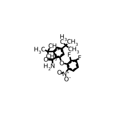 CC(C)(C)c1cc(Oc2c([N+](=O)[O-])ccc(F)c2F)c(C(N)=O)c(C(C)(C)C)c1